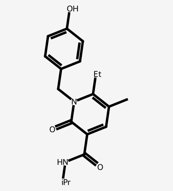 CCc1c(C)cc(C(=O)NC(C)C)c(=O)n1Cc1ccc(O)cc1